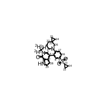 [2H]C([2H])([2H])n1cc(-c2cc(S(=O)(=O)C3CC3)ccc2N2CCCC3(CC3)C2)c2cc[nH]c2c1=O